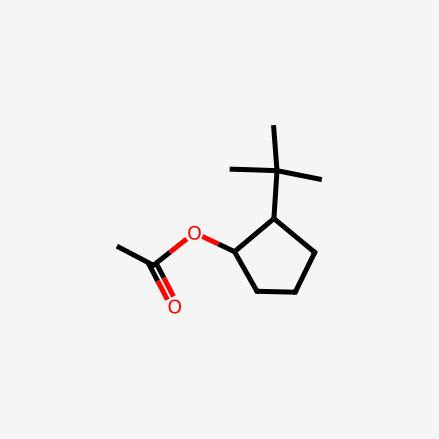 CC(=O)OC1CCCC1C(C)(C)C